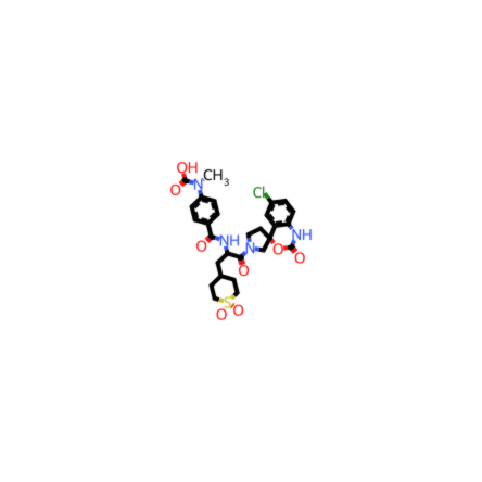 CN(C(=O)O)c1ccc(C(=O)NC(CC2CCS(=O)(=O)CC2)C(=O)N2CCC3(C2)OC(=O)Nc2ccc(Cl)cc23)cc1